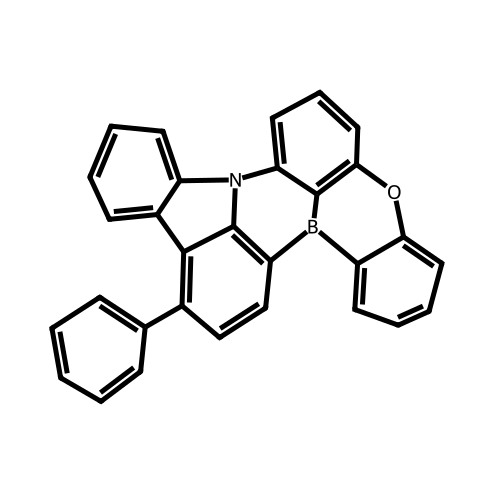 c1ccc(-c2ccc3c4c2c2ccccc2n4-c2cccc4c2B3c2ccccc2O4)cc1